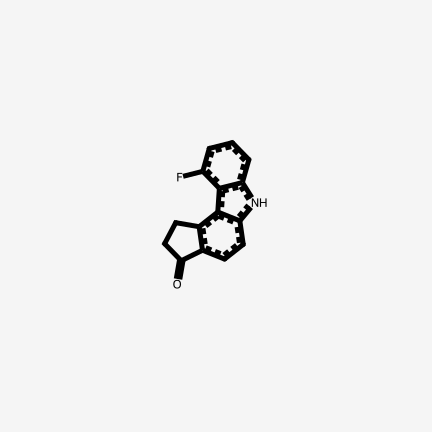 O=C1CCc2c1ccc1[nH]c3cccc(F)c3c21